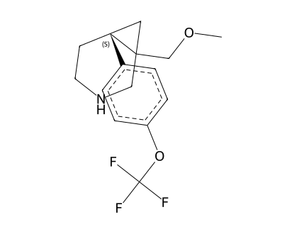 COCC12CNCC[C@]1(c1ccc(OC(F)(F)F)cc1)C2